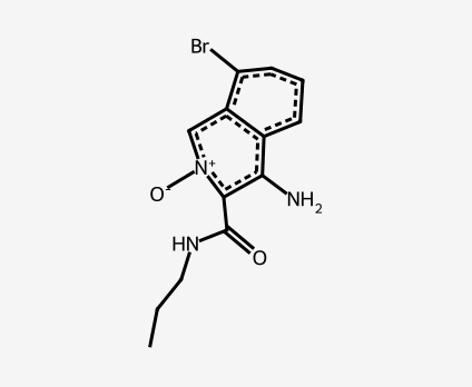 CCCNC(=O)c1c(N)c2cccc(Br)c2c[n+]1[O-]